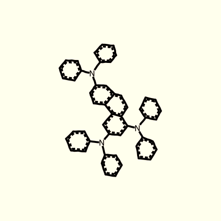 c1ccc(N(c2ccccc2)c2ccc3c(ccc4c(N(c5ccccc5)c5ccccc5)cc(N(c5ccccc5)c5ccccc5)cc43)c2)cc1